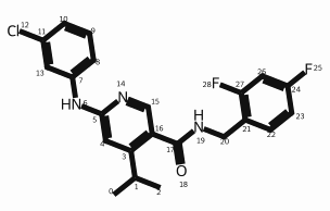 CC(C)c1cc(Nc2cccc(Cl)c2)ncc1C(=O)NCc1ccc(F)cc1F